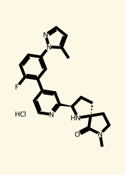 Cc1ccnn1-c1ccc(F)c(-c2ccnc([C@H]3CC[C@@]4(CCN(C)C4=O)N3)c2)c1.Cl